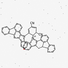 N#CC1=CC(C#N)[C@@H](n2c3c(c4ccccc42)CC2c4ccccc4-c4cccc-3c42)C(n2c3ccccc3c3cc4c5c(cccc5c32)-c2ccccc2-4)=C1